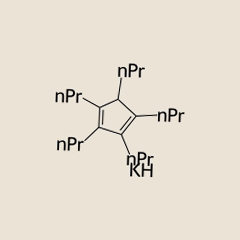 CCCC1=C(CCC)C(CCC)C(CCC)=C1CCC.[KH]